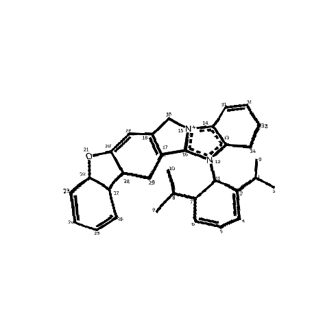 CC(C)C1=CC=CC(C(C)C)C1n1c2c([n+]3c1C1=C(C=C4OC5C=CC=CC5C4C1)C3)C=CCC2